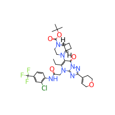 CCc1c(N2CCN(C(=O)OC(C)(C)C)[C@@H]3CC[C@@H]32)c(=O)n2nc(C3=CCOCC3)nc2n1CC(=O)Nc1ccc(C(F)(F)F)cc1Cl